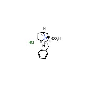 CN1[C@H]2CC[C@@H]1[C@@H](Cc1ccccc1)[C@@H](C(=O)O)C2.Cl